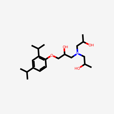 CC(O)CN(CC(C)O)CC(O)COc1ccc(C(C)C)cc1C(C)C